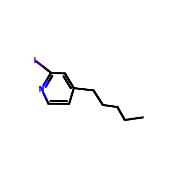 CCCCCc1ccnc(I)c1